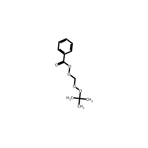 CC(C)(C)OOCOOC(=O)c1ccccc1